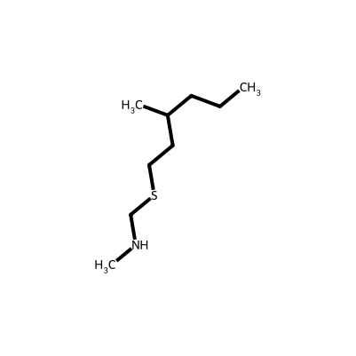 CCCC(C)CCSCNC